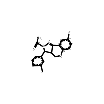 Cc1cccc(C2C3COc4ccc(F)cc4C3=NN2C(N)=O)c1